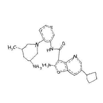 CC1CC(N)CN(c2ccncc2NC(=O)c2c(N)oc3cc(C4CCC4)cnc23)C1